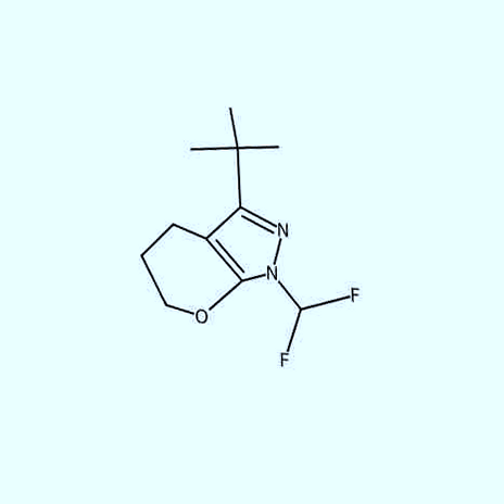 CC(C)(C)c1nn(C(F)F)c2c1CCCO2